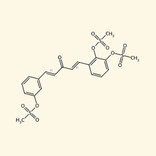 CS(=O)(=O)Oc1cccc(/C=C/C(=O)/C=C/c2cccc(OS(C)(=O)=O)c2OS(C)(=O)=O)c1